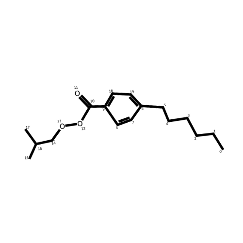 CCCCCCc1ccc(C(=O)OO[CH]C(C)C)cc1